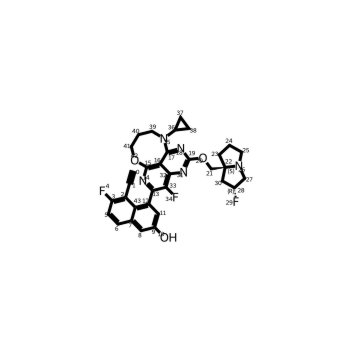 C#Cc1c(F)ccc2cc(O)cc(-c3nc4c5c(nc(OC[C@@]67CCCN6C[C@H](F)C7)nc5c3F)N(C3CC3)CCCO4)c12